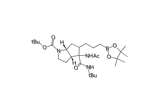 CC(=O)NC1(C(=O)NC(C)(C)C)C(CCCB2OC(C)(C)C(C)(C)O2)C[C@@H]2[C@H]1CCN2C(=O)OC(C)(C)C